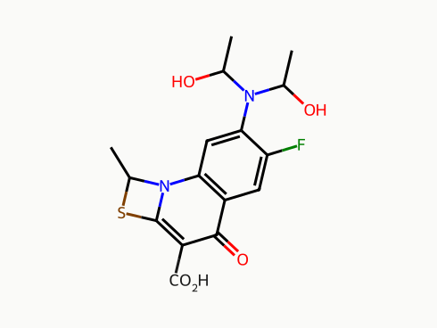 CC(O)N(c1cc2c(cc1F)c(=O)c(C(=O)O)c1n2C(C)S1)C(C)O